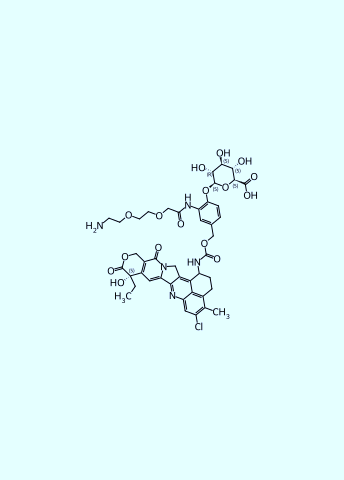 CC[C@@]1(O)C(=O)OCc2c1cc1n(c2=O)Cc2c-1nc1cc(Cl)c(C)c3c1c2C(NC(=O)OCc1ccc(O[C@@H]2O[C@H](C(=O)O)[C@@H](O)[C@H](O)[C@H]2O)c(NC(=O)COCCOCCN)c1)CC3